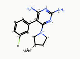 CN[C@H]1CCN(c2nc(N)nc(N)c2-c2cccc(F)c2)C1